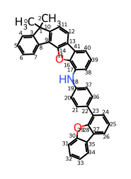 CC1(C)c2ccccc2-c2c1ccc1c2oc2c(Nc3ccc(-c4cccc5c4oc4ccccc45)cc3)cccc21